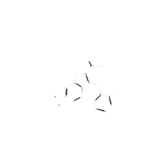 CCN(CC)C(=O)c1[nH]c2cc(S(C)(=O)=O)ccc2c1Sc1ccccc1F